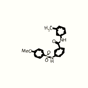 COc1ccc(S(=O)(=O)Nc2cccc(C(=O)Nc3cccc(C)c3)c2)cc1